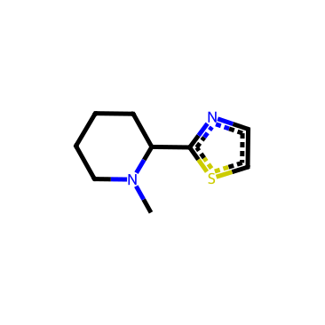 CN1CCCCC1c1nccs1